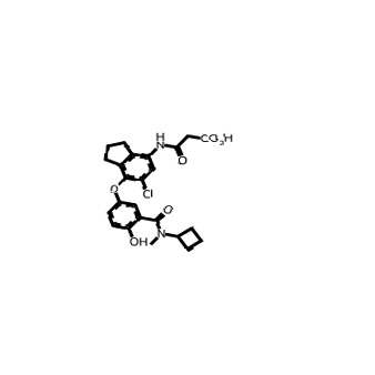 CN(C(=O)c1cc(Oc2c(Cl)cc(NC(=O)CC(=O)O)c3c2CCC3)ccc1O)C1CCC1